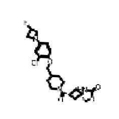 O=C1N[C@]2(CO1)C[C@@H](C(=O)N1CCC(COc3ccc(N4CC(F)C4)cc3Cl)CC1)C2